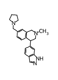 CN1Cc2cc(CN3CCCC3)ccc2C(c2ccc3cn[nH]c3c2)C1